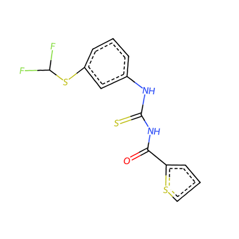 O=C(NC(=S)Nc1cccc(SC(F)F)c1)c1cccs1